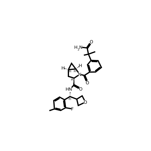 Cc1ccc([C@H](NC(=O)[C@H]2C[C@H]3C[C@H]3N2C(=O)c2cccc(C(C)(C)C(N)=O)c2)C2COC2)c(F)c1